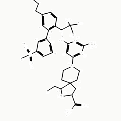 CCCc1ccc([C@@H](Oc2cc(N3CCC4(CC3)CC(C(=O)O)NC4CC)nc(N)n2)C(F)(F)F)c(-c2cccc(S(C)(=O)=O)c2)c1